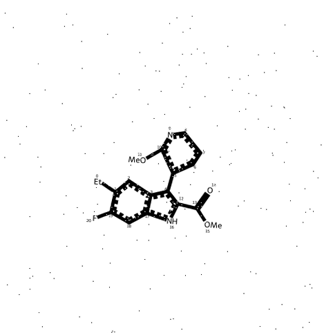 CCc1cc2c(-c3cccnc3OC)c(C(=O)OC)[nH]c2cc1F